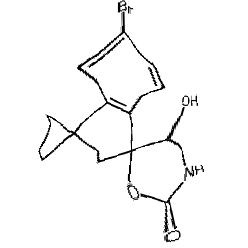 O=C1NC(O)C2(CC3(CC3)c3cc(Br)ccc32)O1